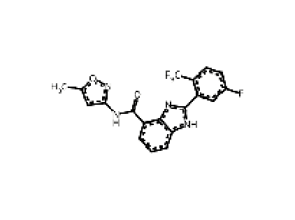 Cc1cc(NC(=O)c2cccc3[nH]c(-c4cc(F)ccc4C(F)(F)F)nc23)no1